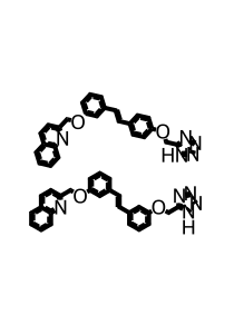 C(=Cc1cccc(OCc2ccc3ccccc3n2)c1)c1ccc(OCc2nnn[nH]2)cc1.C(=Cc1cccc(OCc2nnn[nH]2)c1)c1cccc(OCc2ccc3ccccc3n2)c1